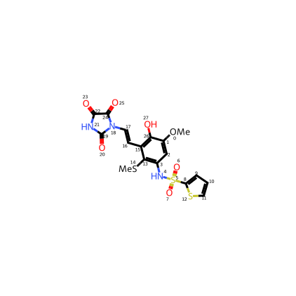 COc1cc(NS(=O)(=O)c2cccs2)c(SC)c(/C=C/N2C(=O)NC(=O)C2=O)c1O